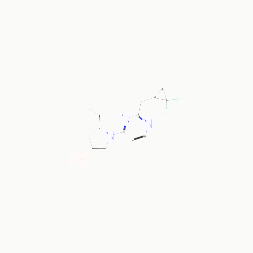 CC[C@@H]1C[C@H](O)CN1c1cc(Cl)nc(CC2CC2(F)F)n1